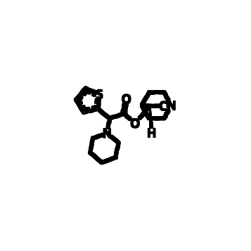 O=C(O[C@H]1CN2CCC1CC2)C(c1cccs1)N1CCCCC1